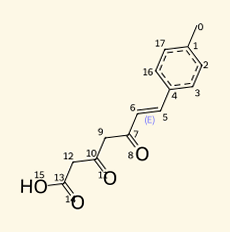 Cc1ccc(/C=C/C(=O)CC(=O)CC(=O)O)cc1